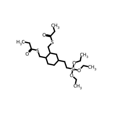 CCO[Si](CCC1CCC(CSC(=O)CC)C(CSC(=O)CC)C1)(OCC)OCC